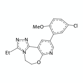 CCc1nnc2n1CCOc1ncc(-c3cc(Cl)ccc3OC)cc1-2